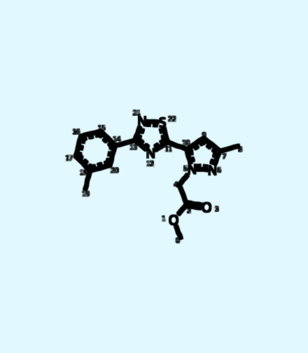 COC(=O)Cn1nc(C)cc1-c1nc(-c2cccc(C)c2)ns1